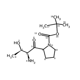 C[C@@H](O)[C@H](N)C(=O)C1CCCN1C(=O)OC(C)(C)C